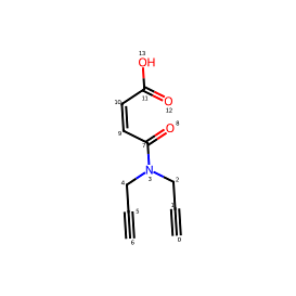 C#CCN(CC#C)C(=O)/C=C\C(=O)O